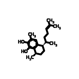 CC(C)=CCCC(C)[C@@H]1CC[C@@H](C)c2c1cc(C)c(O)c2O